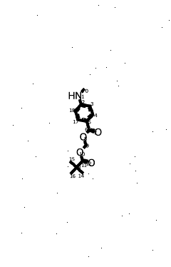 CNc1ccc(C(=O)OCOC(=O)C(C)(C)C)cc1